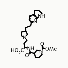 COC(=O)N1CCCC(C(=O)NC(CCN2CCC(CCc3ccc4c(n3)NCCC4)C2)C(=O)O)C1